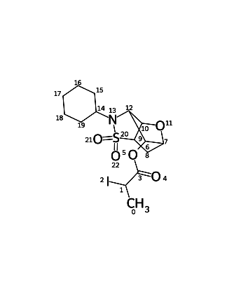 CC(I)C(=O)OC1C2CC3C(O2)C1N(C1CCCCC1)S3(=O)=O